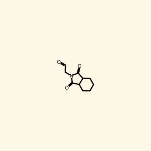 O=[C]CN1C(=O)C2CCCCC2C1=O